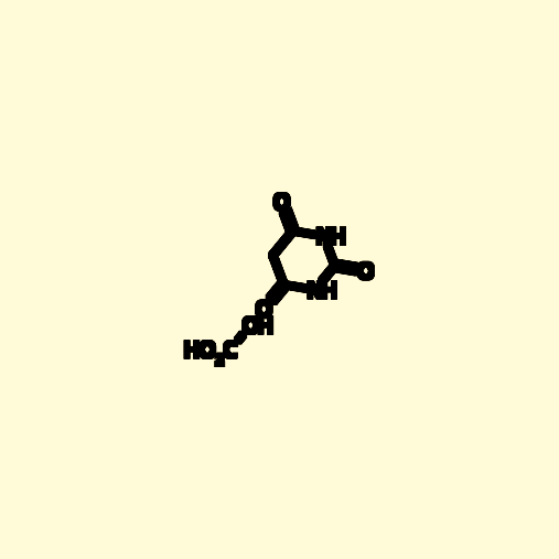 O=C(O)O.O=C1CC(=O)NC(=O)N1